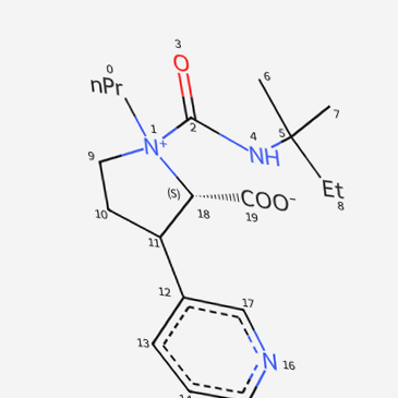 CCC[N+]1(C(=O)NC(C)(C)CC)CCC(c2cccnc2)[C@H]1C(=O)[O-]